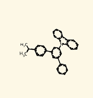 CC(C)c1ccc(-c2cc(-c3ccccc3)cc(-n3c4ccccc4c4ccccc43)c2)cc1